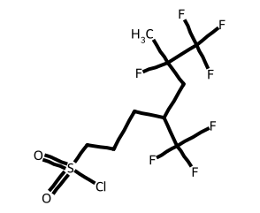 CC(F)(CC(CCCS(=O)(=O)Cl)C(F)(F)F)C(F)(F)F